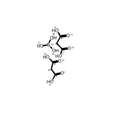 O=C(O)CC(=O)O.O=C(O)CC(=O)O.OB(O)O